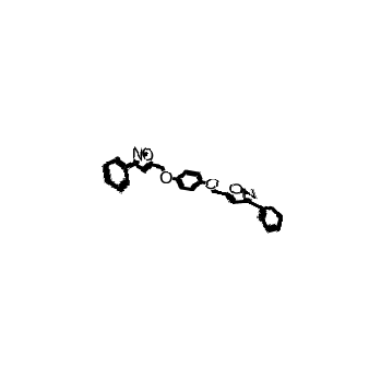 c1ccc(-c2cc(COc3ccc(OCc4cc(-c5ccccc5)no4)cc3)on2)cc1